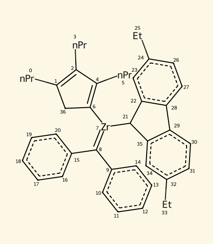 CCCC1=C(CCC)C(CCC)=[C]([Zr](=[C](c2ccccc2)c2ccccc2)[CH]2c3cc(CC)ccc3-c3ccc(CC)cc32)C1